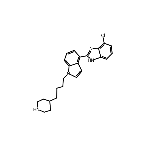 Clc1cccc2[nH]c(-c3cccc4c3ccn4CCCCC3CCNCC3)nc12